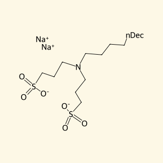 CCCCCCCCCCCCCCN(CCCS(=O)(=O)[O-])CCCS(=O)(=O)[O-].[Na+].[Na+]